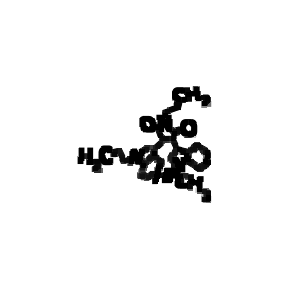 C=CCN1C(=O)C(c2cn(CC=C)c3ccccc23)=C(c2cn(PC)c3ccccc23)C1=O